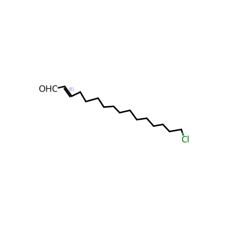 O=C/C=C/CCCCCCCCCCCCCCl